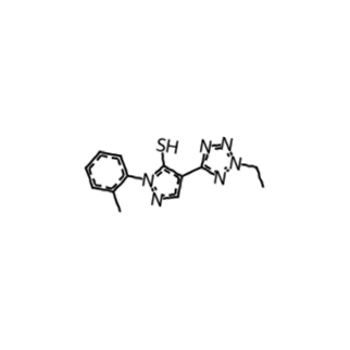 CCn1nnc(-c2cnn(-c3ccccc3C)c2S)n1